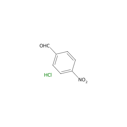 Cl.O=Cc1ccc([N+](=O)[O-])cc1